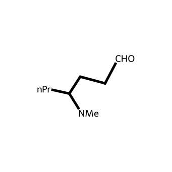 CCCC(CCC=O)NC